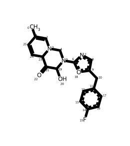 CC1=CN2CN(c3ncc(Cc4ccc(F)cc4)o3)C(O)C(=O)C2C=C1